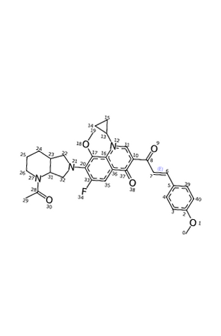 COc1ccc(/C=C/C(=O)c2cn(C3CC3)c3c(OC)c(N4CC5CCCN(C(C)=O)C5C4)c(F)cc3c2=O)cc1